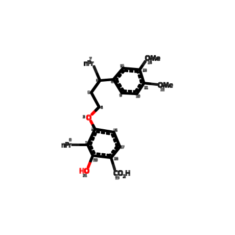 CCCc1c(OCCC(CCC)c2ccc(OC)c(OC)c2)ccc(C(=O)O)c1O